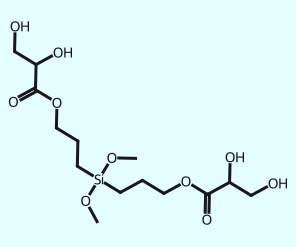 CO[Si](CCCOC(=O)C(O)CO)(CCCOC(=O)C(O)CO)OC